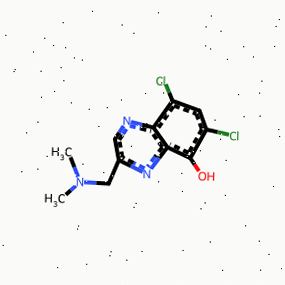 CN(C)Cc1cnc2c(Cl)cc(Cl)c(O)c2n1